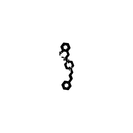 C[C@H](Cc1ccccc1F)N1CCN(CC=Cc2ccccc2)CC1